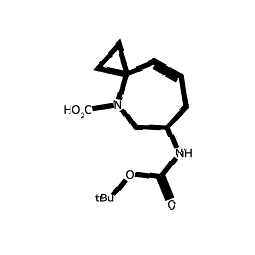 CC(C)(C)OC(=O)NC1CC=CC2(CC2)N(C(=O)O)C1